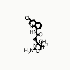 C[C@]1([C@@H]2C[C@H]2C(=O)Nc2cccc3cc(Cl)cnc23)N=C(N)OCC1(F)F